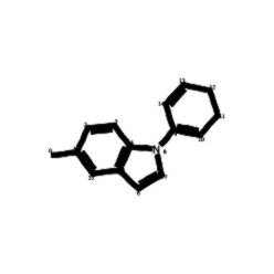 Cc1ccc2c(ccn2C2=CCCC=C2)c1